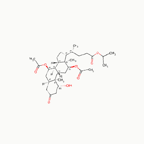 CC(=O)O[C@H]1C[C@H]2[C@@H]([C@H](OC(C)=O)C[C@@H]3CC(=O)C[C@@H](O)[C@@]32C)[C@@H]2CC[C@H]([C@H](C)CCC(=O)OC(C)C)[C@@]12C